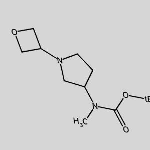 CN(C(=O)OC(C)(C)C)C1CCN(C2COC2)C1